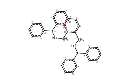 c1ccc(C(O[SiH2]c2ccccc2[SiH2]OC(c2ccccc2)c2ccccc2)c2ccccc2)cc1